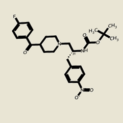 CC(C)(C)OC(=O)N[C@H](Cc1ccc([N+](=O)[O-])cc1)CN1CCC(C(=O)c2ccc(F)cc2)CC1